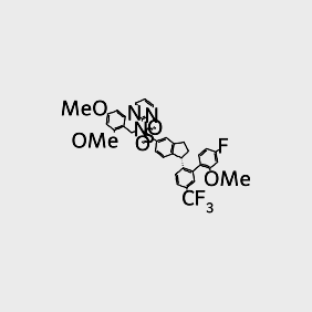 COc1ccc(CN(c2ncccn2)S(=O)(=O)c2ccc3c(c2)CC[C@@H]3c2ccc(C(F)(F)F)cc2-c2ccc(F)cc2OC)c(OC)c1